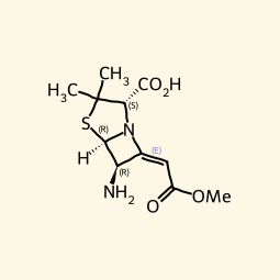 COC(=O)/C=C1\[C@@H](N)[C@H]2SC(C)(C)[C@H](C(=O)O)N12